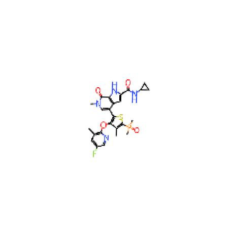 Cc1cc(F)cnc1Oc1c(-c2cn(C)c(=O)c3[nH]c(C(=O)NC4CC4)cc23)sc(P(C)(C)=O)c1C